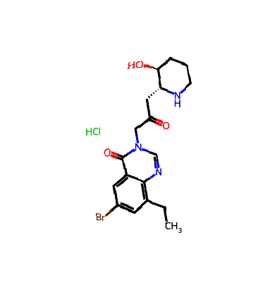 CCc1cc(Br)cc2c(=O)n(CC(=O)C[C@H]3NCCC[C@@H]3O)cnc12.Cl